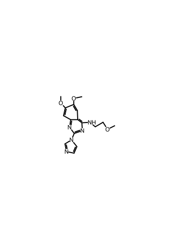 COCCNc1nc(-n2ccnc2)nc2cc(OC)c(OC)cc12